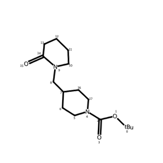 CC(C)(C)OC(=O)N1CCC(CN2CCCCC2=O)CC1